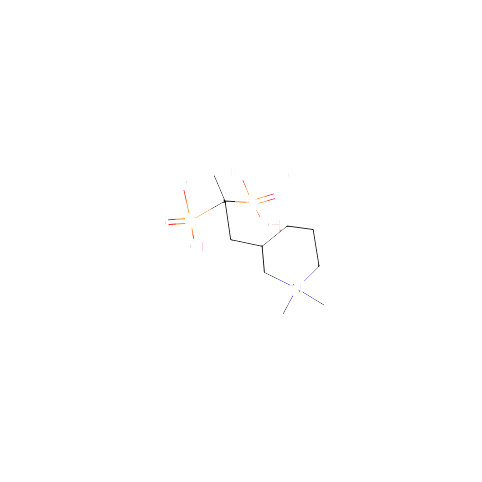 CC(CC1CCC[N+](C)(C)C1)(P(=O)(O)O)P(=O)(O)O.[Cl-]